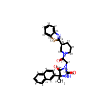 CC1(c2ccc3ccccc3c2)NC(=O)N(CC(=O)N2CCCC(c3nc4ccccc4s3)C2)C1=O